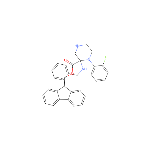 O=C(OCC1c2ccccc2-c2ccccc21)C1(NCc2ccccc2)CNCCN1c1ccccc1F